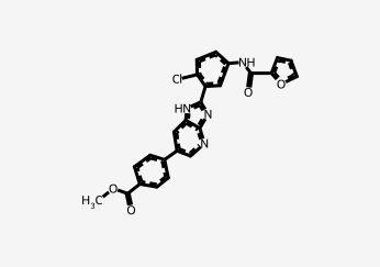 COC(=O)c1ccc(-c2cnc3nc(-c4cc(NC(=O)c5ccco5)ccc4Cl)[nH]c3c2)cc1